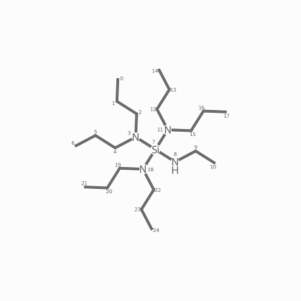 CCCN(CCC)[Si](NCC)(N(CCC)CCC)N(CCC)CCC